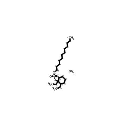 CCCCCCCCCCCCOS(=O)(=O)OC1(CC)CCCCC1CC.N